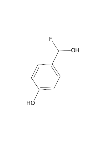 Oc1ccc(C(O)F)cc1